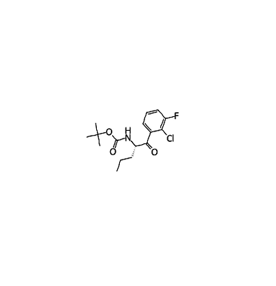 CCC[C@H](NC(=O)OC(C)(C)C)C(=O)c1cccc(F)c1Cl